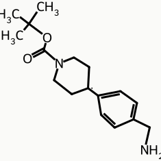 CC(C)(C)OC(=O)N1CC[C](c2ccc(CN)cc2)CC1